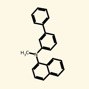 CN(c1cccc(-c2ccccc2)c1)c1cccc2ccccc12